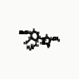 COc1ccc(-n2cc(C)nn2)c(CN)c1F